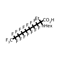 CCCCCCC(CC)(C(=O)O)C(F)(F)C(F)(F)C(F)(F)C(F)(F)C(F)(F)C(F)(F)C(F)(F)C(F)(F)F